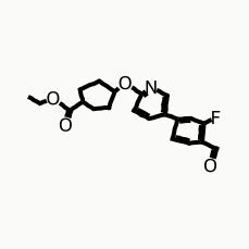 CCOC(=O)C1CCC(Oc2ccc(-c3ccc(C=O)c(F)c3)cn2)CC1